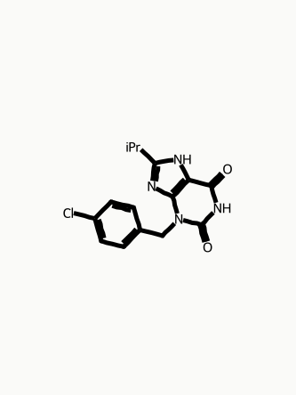 CC(C)c1nc2c([nH]1)c(=O)[nH]c(=O)n2Cc1ccc(Cl)cc1